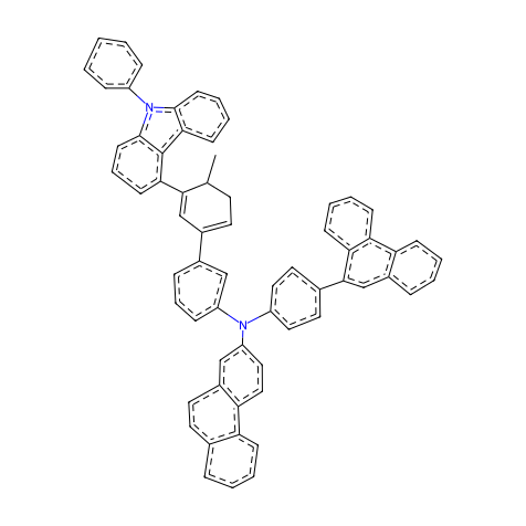 CC1CC=C(c2cccc(N(c3ccc(-c4cc5ccccc5c5ccccc45)cc3)c3ccc4c(ccc5ccccc54)c3)c2)C=C1c1cccc2c1c1ccccc1n2-c1ccccc1